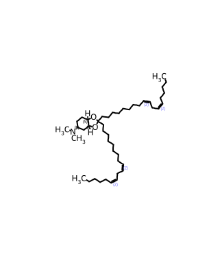 CCCCC/C=C\C/C=C\CCCCCCCCC1(CCCCCCCC/C=C\C/C=C\CCCCC)O[C@H]2CC[C@@H](N(C)C)C[C@H]2O1